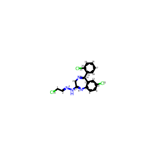 ClCC=NNC1=Nc2ccc(Cl)cc2C(c2ccccc2Cl)=NC1